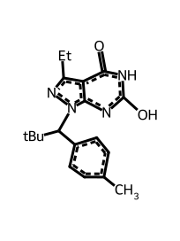 CCc1nn(C(c2ccc(C)cc2)C(C)(C)C)c2nc(O)[nH]c(=O)c12